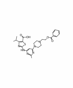 Cc1nc(Nc2nc(C(C)C)c(C(=O)O)s2)cc(N2CCN(CCOC(=O)c3ccccc3)CC2)n1